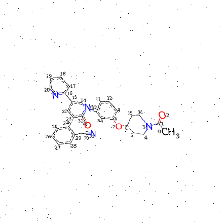 CC(=O)N1CCC(Oc2cccc(-n3cc(-c4ccccn4)cc(-c4ccccc4C#N)c3=O)c2)CC1